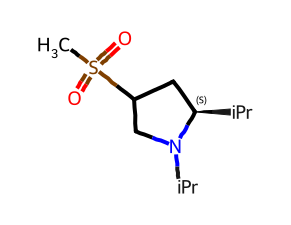 CC(C)[C@@H]1CC(S(C)(=O)=O)CN1C(C)C